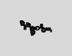 NC1CCCN(C(=O)C2CCN(c3nc(-c4ccnc(NC5CCOCC5)c4)cc4cnccc34)CC2)C1